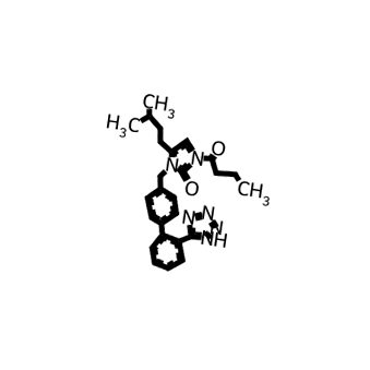 CCCC(=O)n1cc(CCC(C)C)n(Cc2ccc(-c3ccccc3-c3nnn[nH]3)cc2)c1=O